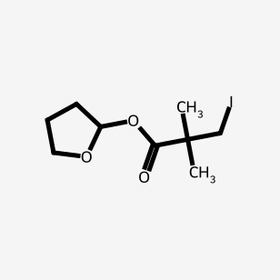 CC(C)(CI)C(=O)OC1CCCO1